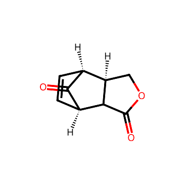 O=C1OC[C@H]2C1[C@H]1C=C[C@@H]2C1=O